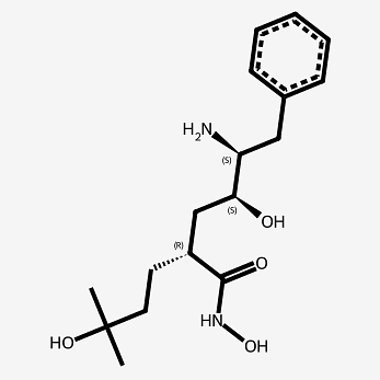 CC(C)(O)CC[C@H](C[C@H](O)[C@@H](N)Cc1ccccc1)C(=O)NO